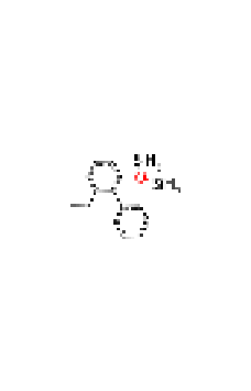 C=Cc1ccccc1-c1ccccc1.[SiH3]O[SiH3]